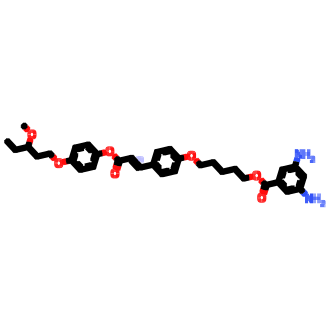 CCC(CCOc1ccc(OC(=O)/C=C/c2ccc(OCCCCCOC(=O)c3cc(N)cc(N)c3)cc2)cc1)OC